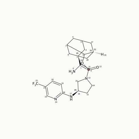 NC(=O)[C@]12CC3CC(C1)C(OC(=O)N1CC[C@@H](Nc4ccc(C(F)(F)F)cn4)C1)[C@@H](C3)C2